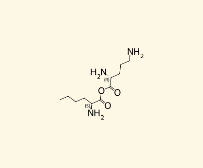 CCCC[C@H](N)C(=O)OC(=O)[C@H](N)CCCN